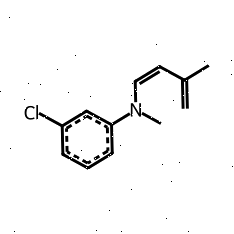 C=C(C)/C=C\N(C)c1cccc(Cl)c1